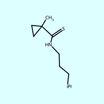 CC(C)CCCNC(=S)C1(C)CC1